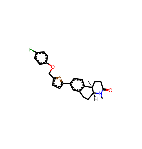 CN1C(=O)CC[C@]2(C)c3ccc(-c4ccc(COc5ccc(F)cc5)s4)cc3CC[C@@H]12